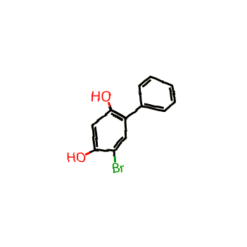 Oc1cc(O)c(-c2ccccc2)cc1Br